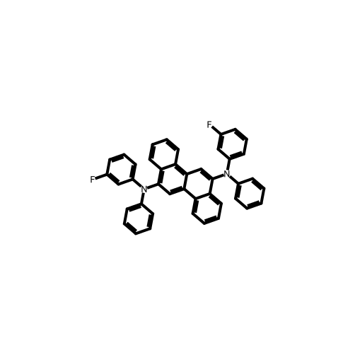 Fc1cccc(N(c2ccccc2)c2cc3c4ccccc4c(N(c4ccccc4)c4cccc(F)c4)cc3c3ccccc23)c1